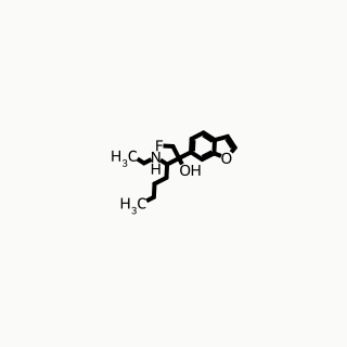 CCCCC(NCC)C(O)(CF)c1ccc2ccoc2c1